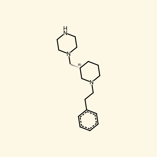 c1ccc(CCN2CCC[C@@H](CN3CCNCC3)C2)cc1